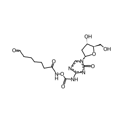 O=CCCCCCC(=O)NOC(=O)Nc1ncn([C@H]2C[C@H](O)[C@@H](CO)O2)c(=O)n1